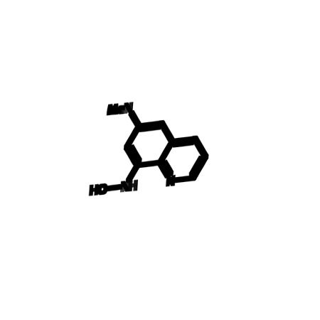 CNc1cc(NO)c2ncccc2c1